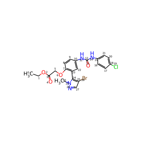 CCOC(=O)COc1ccc(NC(=O)Nc2ccc(Cl)cc2)cc1-c1c(Br)cnn1C